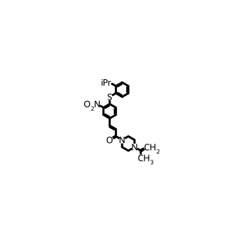 C=C(C)N1CCN(C(=O)/C=C/c2ccc(Sc3ccccc3C(C)C)c([N+](=O)[O-])c2)CC1